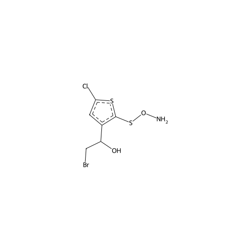 NOSc1sc(Cl)cc1C(O)CBr